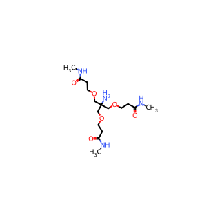 CNC(=O)CCOCC(N)(COCCC(=O)NC)COCCC(=O)NC